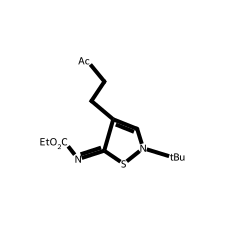 CCOC(=O)N=c1sn(C(C)(C)C)cc1CCC(C)=O